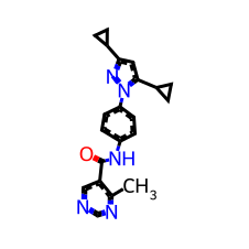 Cc1ncncc1C(=O)Nc1ccc(-n2nc(C3CC3)cc2C2CC2)cc1